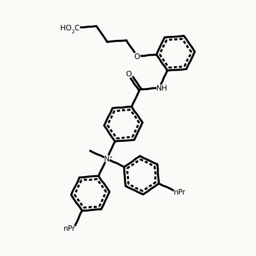 CCCc1ccc([N+](C)(c2ccc(CCC)cc2)c2ccc(C(=O)Nc3ccccc3OCCCC(=O)O)cc2)cc1